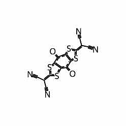 N#CC(C#N)=c1sc2c(=O)c3sc(=C(C#N)C#N)sc=3c(=O)c=2s1